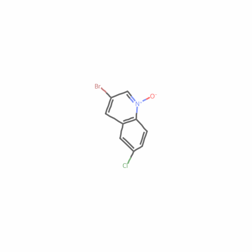 [O-][n+]1cc(Br)cc2cc(Cl)ccc21